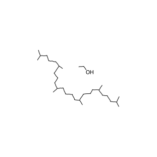 CC(C)CCCC(C)CCCC(C)CCCCC(C)CCCC(C)CCCC(C)C.CCO